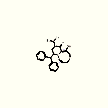 CCC(CC)N1CC(C(c2ccccc2)c2ccccc2)N2/N=C\COC/C(O)=C\2C1=O